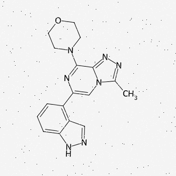 Cc1nnc2c(N3CCOCC3)nc(-c3cccc4[nH]ncc34)cn12